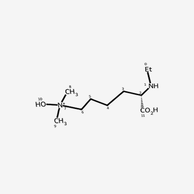 CCN[C@@H](CCCC[N+](C)(C)O)C(=O)O